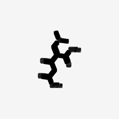 COC(=O)CC(=O)C(=CN(C)C)C(=O)OC